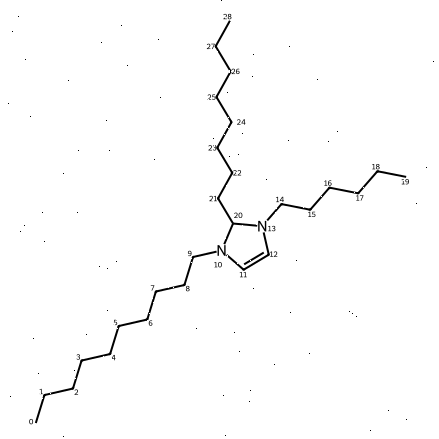 CCCCCCCCCCN1C=CN(CCCCCC)C1CCCCCCCC